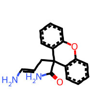 NC=CCC1(C(N)=O)c2ccccc2Oc2ccccc21